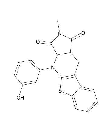 CN1C(=O)C2Cc3c(sc4ccccc34)N(c3cccc(O)c3)C2C1=O